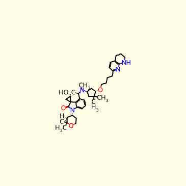 CN([C@H]1C[C@H](OCCCCc2ccc3c(n2)NCCC3)C(C)(C)C1)[C@H](C(=O)O)c1cccc2c1C1(CC1)C(=O)N2[C@@H]1CCOC(C)(C)C1